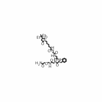 CCC(C)(CC)C1CC(=O)N(CCCCCC(=O)NCC(=O)NCC(=O)N[C@@H](Cc2ccccc2)C(=O)NCC(=O)NCOCC(N)=O)C1=O